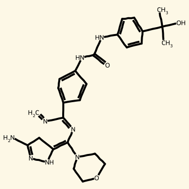 C=N/C(=N\C(=C1/CC(N)=NN1)N1CCOCC1)c1ccc(NC(=O)Nc2ccc(C(C)(C)O)cc2)cc1